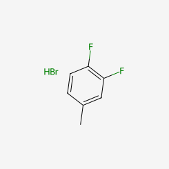 Br.Cc1ccc(F)c(F)c1